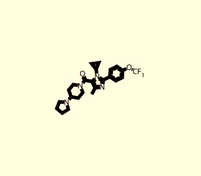 Cc1nc(-c2ccc(OC(F)(F)F)cc2)n(C2CC2)c1C(=O)N1CCC(N2CCCC2)CC1